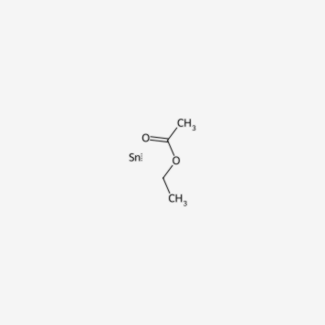 CCOC(C)=O.[Sn]